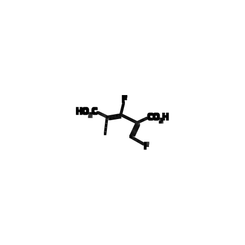 CC(C(=O)O)=C(F)C(=CF)C(=O)O